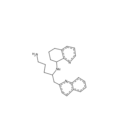 NCCCC(Cc1ccc2ccccc2n1)NC1CCCc2cccnc21